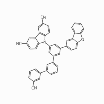 N#Cc1cccc(-c2cccc(-c3cc(-c4ccc5oc6ccccc6c5c4)cc(-n4c5ccc(C#N)cc5c5cc(C#N)ccc54)c3)c2)c1